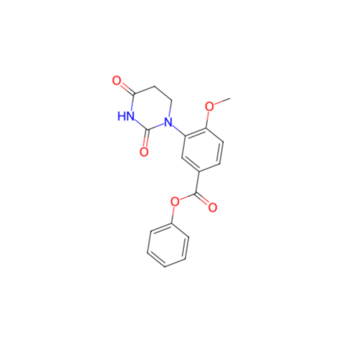 COc1ccc(C(=O)Oc2ccccc2)cc1N1CCC(=O)NC1=O